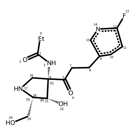 CCC(=O)N[C@@]1(C(=O)CCc2ccc(F)nc2)CN[C@@H](CO)[C@H]1O